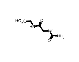 NC(=O)NCC(=O)NCC(=O)O